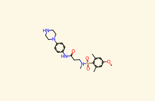 COc1cc(C)c(S(=O)(=O)N(C)CCC(=O)Nc2ccc(N3CCNCC3)cc2)c(C)c1